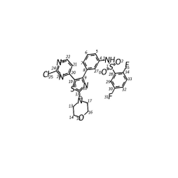 O=S(=O)(Nc1cccc(-c2nc(N3CCOCC3)sc2-c2ccnc(Cl)n2)c1)c1cc(F)ccc1F